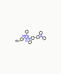 CC(C)(C)c1ccc(C2NC(n3c4ccccc4c4cc(-c5ccc6c(c5)c5ccccc5n6-c5ccccc5)ccc43)=NC(c3ccccc3)N2)cc1